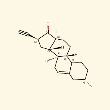 C#C[C@@H]1C[C@H]2[C@@H]3CC=C4C[C@@H](C)CC[C@]4(C)[C@H]3CC[C@]2(C)C1=O